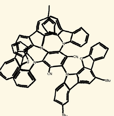 Cc1ccc2c(c1)c1ccc3c4ccccc4sc3c1n2-c1c(-n2c3ccccc3c3ccccc32)c(C#N)c(-n2c3ccc(C(C)(C)C)cc3c3cc(C(C)(C)C)c4c5ccccc5oc4c32)c(C#N)c1-n1c2ccccc2c2ccccc21